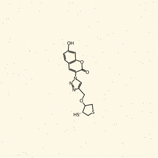 O=c1oc2cc(O)ccc2cc1-n1cc(COC2CSC[C@@H]2S)nn1